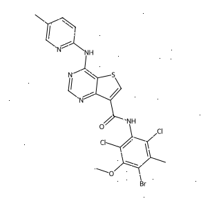 COc1c(Cl)c(NC(=O)c2csc3c(Nc4ccc(C)cn4)ncnc23)c(Cl)c(C)c1Br